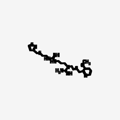 COc1cccnc1CSCCN(CCCNC(=N)NCCSCc1ccsn1)C(=N)N